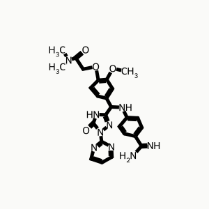 COc1cc(C(Nc2ccc(C(=N)N)cc2)c2nn(-c3ncccn3)c(=O)[nH]2)ccc1OCC(=O)N(C)C